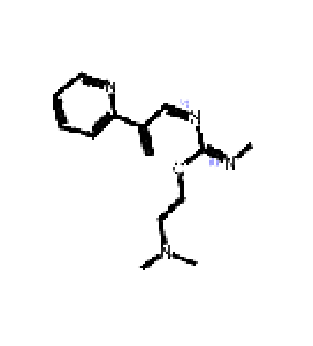 C=C(/C=N\C(=N/C)OCCN(C)C)c1ccccn1